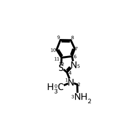 CN(CN)c1nc2ccccc2s1